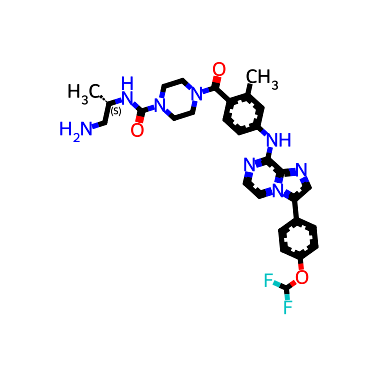 Cc1cc(Nc2nccn3c(-c4ccc(OC(F)F)cc4)cnc23)ccc1C(=O)N1CCN(C(=O)N[C@@H](C)CN)CC1